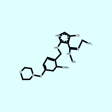 CCCN/C(=N/CN)c1c(C#N)c[nH]c1NCC1=CC=C(SN2CCOCC2)CC1OC